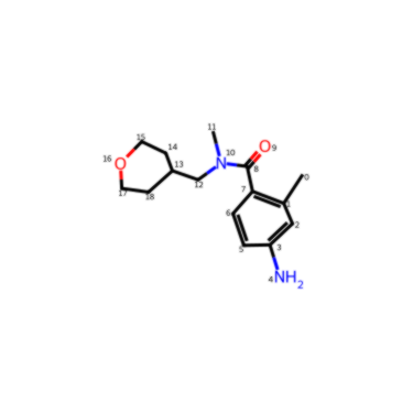 Cc1cc(N)ccc1C(=O)N(C)CC1CCOCC1